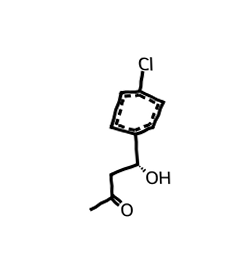 CC(=O)C[C@@H](O)c1ccc(Cl)cc1